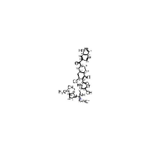 [C-]#[N+]/N=C(\NC[C@H](NC(=O)c1c(Cl)cc2c(c1Cl)CCN(C(=O)c1ccc3cn[nH]c3c1)C2)C(=O)O)N1CC[C@H](N(C)C)C1